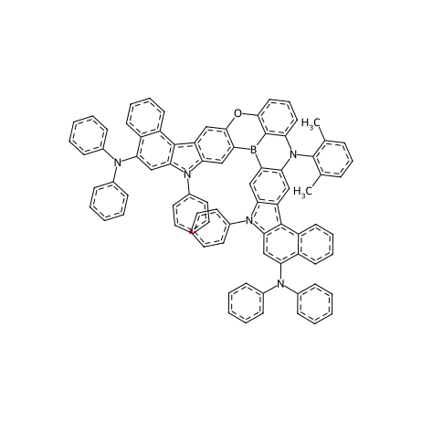 Cc1cccc(C)c1N1c2cc3c4c5ccccc5c(N(c5ccccc5)c5ccccc5)cc4n(-c4ccccc4)c3cc2B2c3cc4c(cc3Oc3cccc1c32)c1c2ccccc2c(N(c2ccccc2)c2ccccc2)cc1n4-c1ccccc1